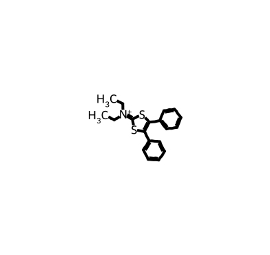 CC[N+](CC)=c1sc(-c2ccccc2)c(-c2ccccc2)s1